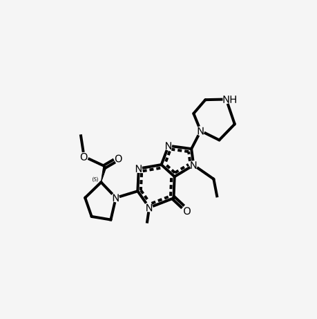 CCn1c(N2CCNCC2)nc2nc(N3CCC[C@H]3C(=O)OC)n(C)c(=O)c21